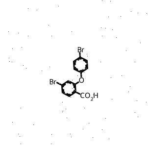 O=C(O)c1ccc(Br)cc1Oc1ccc(Br)cc1